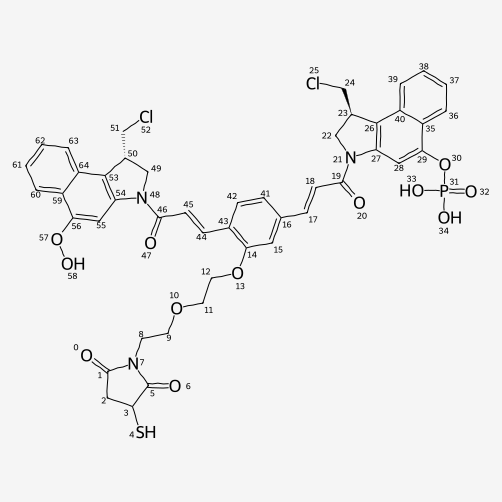 O=C1CC(S)C(=O)N1CCOCCOc1cc(/C=C/C(=O)N2C[C@@H](CCl)c3c2cc(OP(=O)(O)O)c2ccccc32)ccc1/C=C/C(=O)N1C[C@@H](CCl)c2c1cc(OO)c1ccccc21